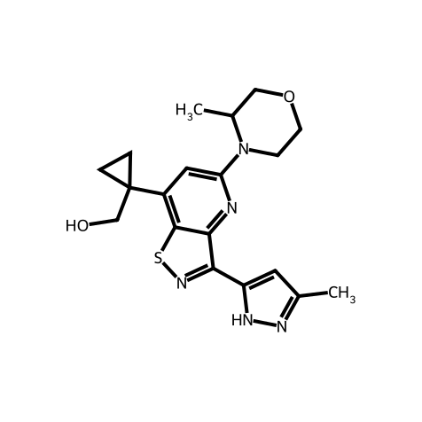 Cc1cc(-c2nsc3c(C4(CO)CC4)cc(N4CCOCC4C)nc23)[nH]n1